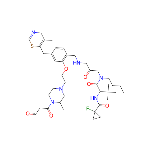 CCCCN(CC(=O)CNCc1ccc(CC2=C(C)CN=CS2)cc1OCCN1CCN(C(=O)CC=O)C(C)C1)C(=O)C(NC(=O)C1(F)CC1)C(C)(C)C